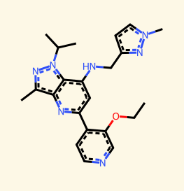 CCOc1cnccc1-c1cc(NCc2ccn(C)n2)c2c(n1)c(C)nn2C(C)C